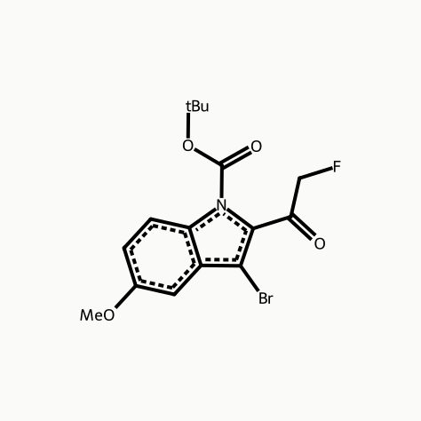 COc1ccc2c(c1)c(Br)c(C(=O)CF)n2C(=O)OC(C)(C)C